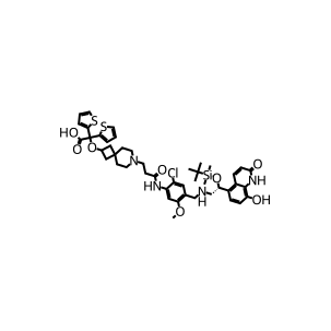 COc1cc(NC(=O)CCN2CCC3(CC2)CC(OC(C(=O)O)(c2cccs2)c2cccs2)C3)c(Cl)cc1CNC[C@H](O[Si](C)(C)C(C)(C)C)c1ccc(O)c2[nH]c(=O)ccc12